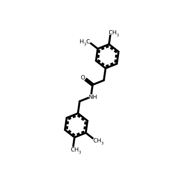 Cc1ccc(CNC(=O)Cc2ccc(C)c(C)c2)cc1C